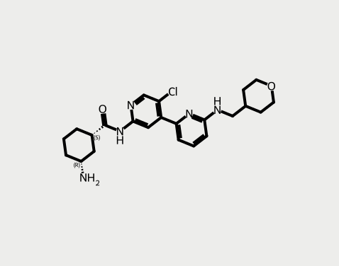 N[C@@H]1CCC[C@H](C(=O)Nc2cc(-c3cccc(NCC4CCOCC4)n3)c(Cl)cn2)C1